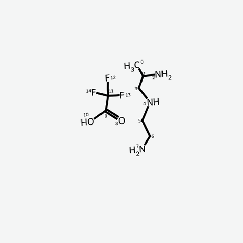 CC(N)CNCCN.O=C(O)C(F)(F)F